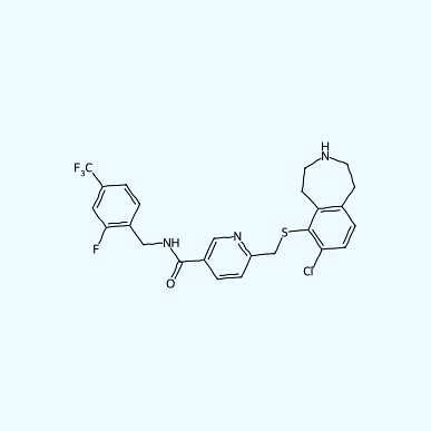 O=C(NCc1ccc(C(F)(F)F)cc1F)c1ccc(CSc2c(Cl)ccc3c2CCNCC3)nc1